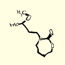 COC(O)CCN1CCCCOC1=O